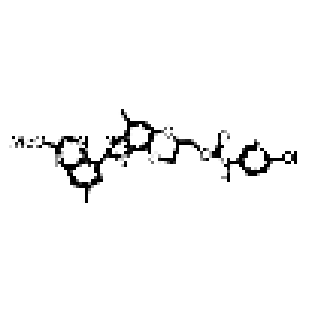 COc1cnc2c(-c3nc4c(C)cc5c(c4s3)OCC(COC(=O)Nc3ccc(O)nc3)O5)cc(C)cc2n1